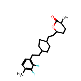 CCCC1CCC(CCC2CCC(CCc3ccc(C)c(F)c3F)CC2)OC1=O